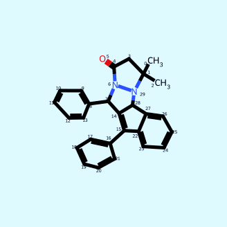 CC1(C)CC(=O)N2C(c3ccccc3)C3=C(c4ccccc4)c4ccccc4C3N21